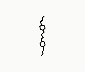 CCC=CC1CCC(CCCCC2CCC(CCCC)CC2)CC1